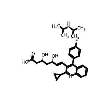 CC(C)NC(C)C.O=C(O)C[C@H](O)C[C@H](O)/C=C/c1c(C2CC2)nc2ccccc2c1-c1ccc(F)cc1